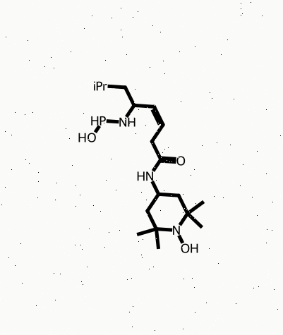 CC(C)CC(/C=C\CC(=O)NC1CC(C)(C)N(O)C(C)(C)C1)NPO